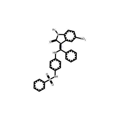 CC(=O)N1C(=O)/C(=C(\Nc2ccc(NS(=O)(=O)c3ccccc3)cc2)c2ccccc2)c2cc([N+](=O)[O-])ccc21